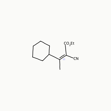 CCOC(=O)/C(C#N)=C(/C)C1CCCCC1